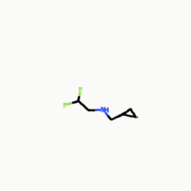 FC(F)CNCC1[CH]C1